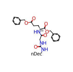 CCCCCCCCCCNC(=O)NCC(=O)N[C@@H](CCC(=O)OCc1ccccc1)C(=O)OCc1ccccc1